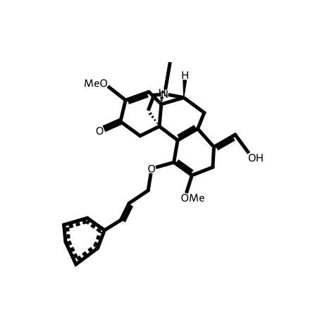 COC1=C[C@H]2[C@H]3CC4=C(C(OC/C=C/c5ccccc5)=C(OC)CC4=CO)[C@@]2(CCN3C)CC1=O